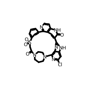 O=C1CS(=O)(=O)c2cccc(c2)-c2nccc3[nH]c(=O)c(cc23)-c2nc3c(nc(Cl)cc3[nH]2)N2CCCN1CC2